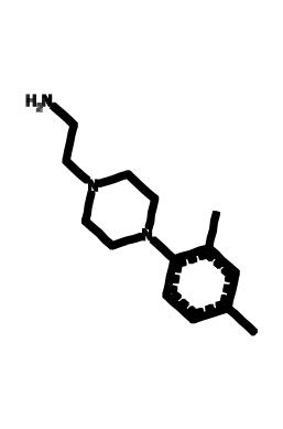 Cc1ccc(N2CCN(CCN)CC2)c(C)c1